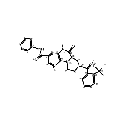 O=C(Nc1ccccc1)c1cnc2c(c1)NC(=O)C1CN(C(=O)c3ccccc3C(F)(F)F)CCN21